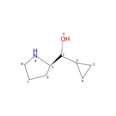 OC(C1CC1)[C@H]1CCCN1